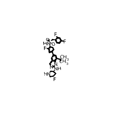 CC(C)c1cc(-c2ccc(NS(=O)(=O)Cc3ccc(F)cc3F)c(F)c2)cc2cnc(N[C@@H]3CNC[C@@H](F)C3)nc12